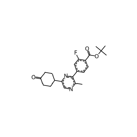 Cc1ncc(C2CCC(=O)CC2)nc1-c1ccc(C(=O)OC(C)(C)C)c(F)c1